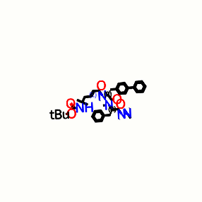 CN(C(=O)/C=C/CC(C)(C)NC(=O)OC(C)(C)C)[C@H](Cc1ccc(-c2ccccc2)cc1)C(=O)N(C)[C@H](Cc1ccccc1)C(=O)N(C)N(C)C